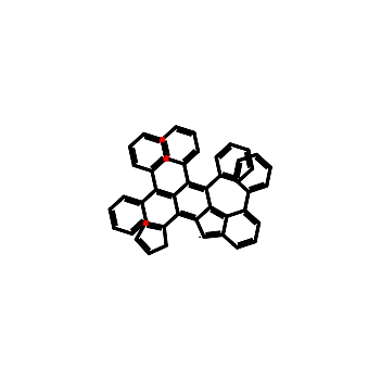 [C]1=c2cccc(-c3ccccc3)c2=c2c1c(C1=CC=CC1)c(=C(c1ccccc1)c1ccccc1)c(-c1ccccc1)c2-c1ccccc1